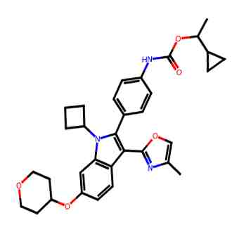 Cc1coc(-c2c(-c3ccc(NC(=O)OC(C)C4CC4)cc3)n(C3CCC3)c3cc(OC4CCOCC4)ccc23)n1